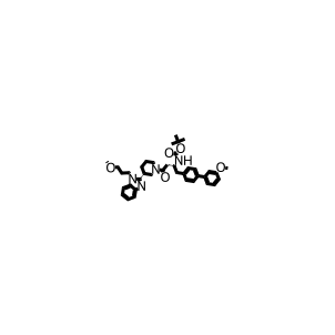 COCCCn1c([C@@H]2CCCN(C(=O)C[C@@H](Cc3ccc(-c4cccc(OC)c4)cc3)NC(=O)OC(C)(C)C)C2)nc2ccccc21